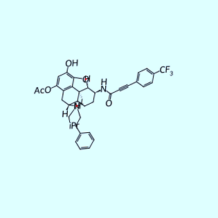 CC(=O)Oc1cc(O)c2c3c1C[C@@H]1[C@@H]4CC[C@H](NC(=O)C#Cc5ccc(C(F)(F)F)cc5)[C@H](O2)[C@]34CC[N+]1(CCc1ccccc1)CC(C)C